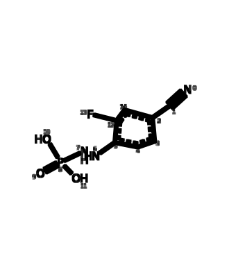 N#Cc1ccc(NNP(=O)(O)O)c(F)c1